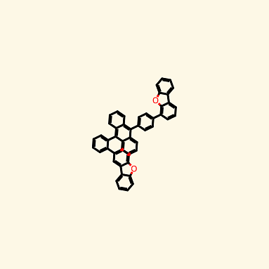 c1ccc(-c2c3ccccc3c(-c3ccc(-c4cccc5c4oc4ccccc45)cc3)c3ccccc23)c(-c2ccc3oc4ccccc4c3c2)c1